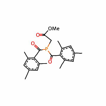 COC(=O)CP(C(=O)c1c(C)cc(C)cc1C)C(=O)c1c(C)cc(C)cc1C